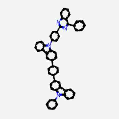 c1ccc(-c2nc(-c3ccc(-n4c5ccccc5c5cc(-c6ccc(-c7ccc8c(c7)c7ccccc7n8-c7ccccc7)cc6)ccc54)cc3)nc3ccccc23)cc1